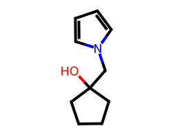 OC1(Cn2cccc2)CCCC1